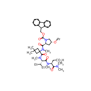 CCC(CC)[C@@H](C(=O)N(C)[C@@H](CC(=O)O)C(=O)N(C)C)N(C)C(=O)C1(N(C)C(=O)[C@@H]2C[C@@H](OC(C)C)CN2C(=O)OCC2c3ccccc3-c3ccccc32)CC(C)(C)C1